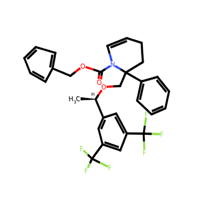 C[C@@H](OCC1(c2ccccc2)CCC=CN1C(=O)OCc1ccccc1)c1cc(C(F)(F)F)cc(C(F)(F)F)c1